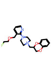 FCCOCc1cccnc1N1CCN(CC2COc3ccccc3O2)CC1